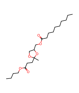 CCCCCCCCCC(=O)OCC1COC(C)(CCC(=O)OCCCC)O1